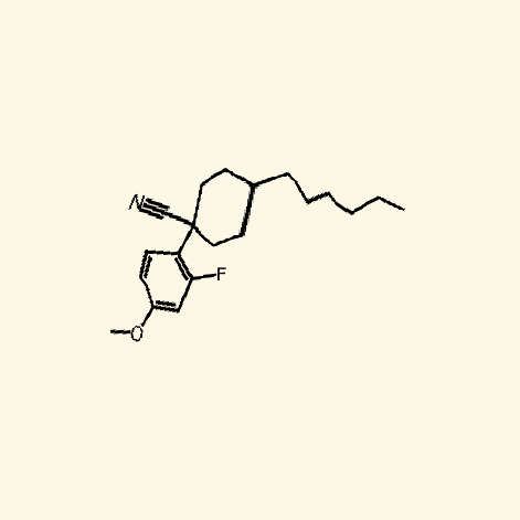 CCCCCCC1CCC(C#N)(c2ccc(OC)cc2F)CC1